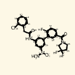 N[S+]([O-])c1cc(NC(=O)Cc2ccccc2Cl)cc(-c2cc(C(=O)N3CCC(F)(F)C3)ccc2F)c1